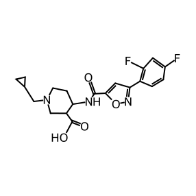 O=C(NC1CCN(CC2CC2)CC1C(=O)O)c1cc(-c2ccc(F)cc2F)no1